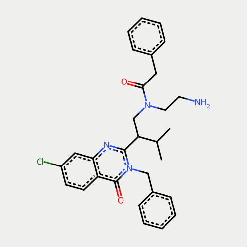 CC(C)C(CN(CCN)C(=O)Cc1ccccc1)c1nc2cc(Cl)ccc2c(=O)n1Cc1ccccc1